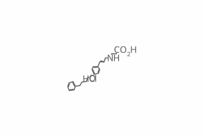 Cl.O=C(O)CCNCC=Cc1ccc(OCCCCc2ccccc2)cc1